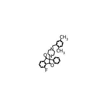 Cc1ccc(C)c(CN2CCN(C3(c4ccccc4)C(=O)c4cccc(F)c4C3=O)CC2)c1